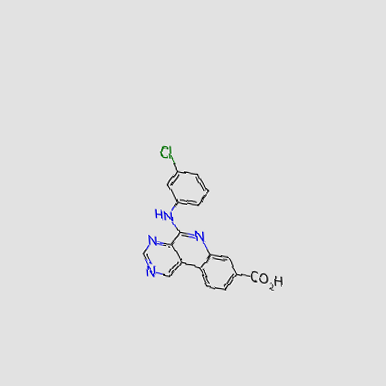 O=C(O)c1ccc2c(c1)nc(Nc1cccc(Cl)c1)c1ncncc12